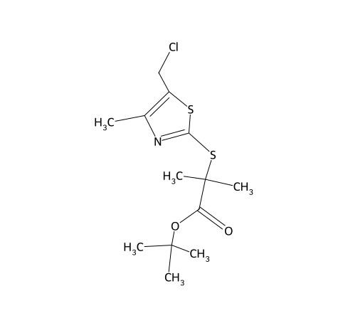 Cc1nc(SC(C)(C)C(=O)OC(C)(C)C)sc1CCl